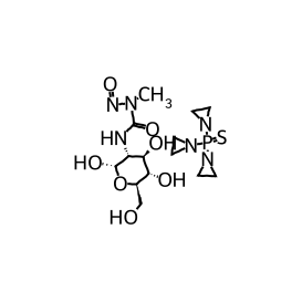 CN(N=O)C(=O)N[C@@H]1[C@@H](O)[C@H](O)[C@@H](CO)O[C@@H]1O.S=P(N1CC1)(N1CC1)N1CC1